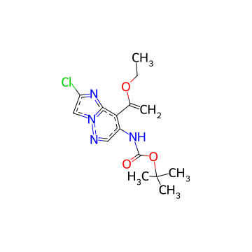 C=C(OCC)c1c(NC(=O)OC(C)(C)C)cnn2cc(Cl)nc12